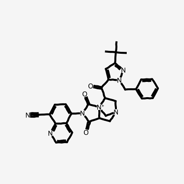 CC(C)(C)c1cc(C(=O)C2CN3CC4C(=O)N(c5ccc(C#N)c6ncccc56)C(=O)[N+]24C3)n(Cc2ccccc2)n1